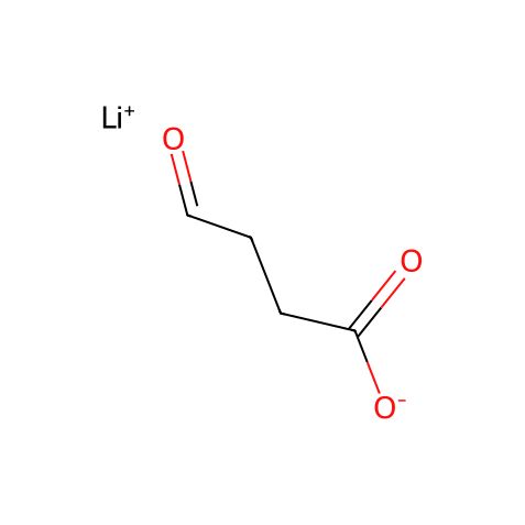 O=CCCC(=O)[O-].[Li+]